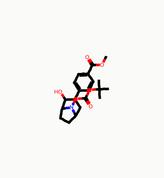 COC(=O)c1ccc(C2CC3CCC(C2O)N3OC(=O)OC(C)(C)C)cc1